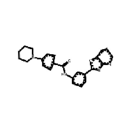 O=C(Nc1cccc(-c2nc3ncccc3o2)c1)c1ccc(N2CCCCC2)cc1